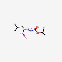 CC(C)CN(CNC(=O)OC(C)C)N=O